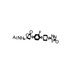 CC(=O)NC[C@H]1CN(c2ccc(N3CCN(C4N=NC(=O)S4)CC3)c(F)c2)C(=O)O1